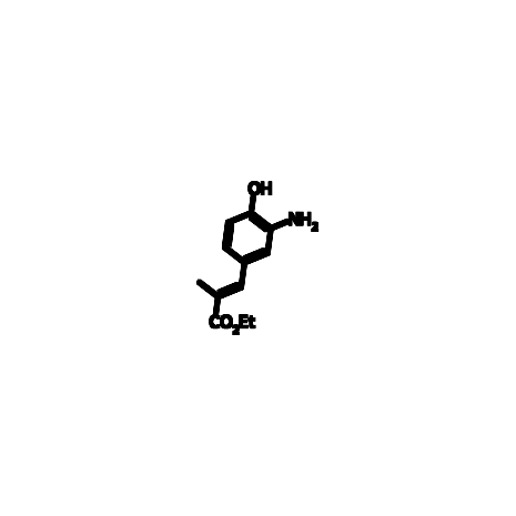 CCOC(=O)/C(C)=C/c1ccc(O)c(N)c1